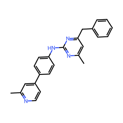 Cc1cc(-c2ccc(Nc3nc(C)cc(Cc4ccccc4)n3)cc2)ccn1